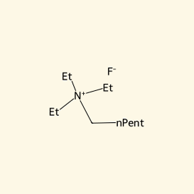 CCCCCC[N+](CC)(CC)CC.[F-]